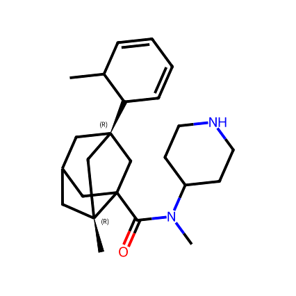 CC1C=CC=CC1[C@@]12CC3CC(C(=O)N(C)C4CCNCC4)(C1)[C@](C)(C3)C2